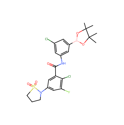 CC1(C)OB(c2cc(Cl)cc(NC(=O)c3cc(N4CCCS4(=O)=O)cc(F)c3Cl)c2)OC1(C)C